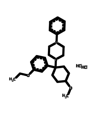 CCOc1cccc(C2(N3CCN(c4ccccc4)CC3)CCC(OC)CC2)c1.Cl.Cl